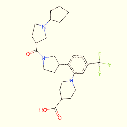 O=C(O)C1CCN(c2cc(C(F)(F)F)ccc2C2CCN(C(=O)C3CCN(C4CCCC4)C3)C2)CC1